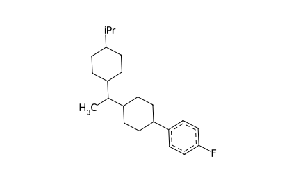 CC(C)C1CCC(C(C)C2CCC(c3ccc(F)cc3)CC2)CC1